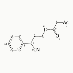 CC(=O)CC(=O)OCCC(C#N)c1ccccc1